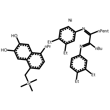 CCCCCC(=Nc1ccc(CC)c(CC)c1)C(CCCC)=Nc1ccc(CC)c(CC)c1.CCCc1ccc(C[Si](C)(C)C)c2cc(O)c(O)cc12.[Ni]